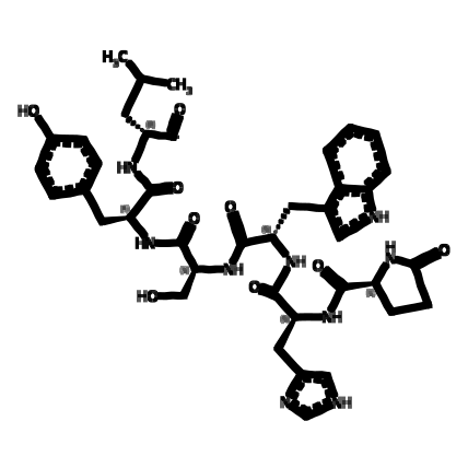 CC(C)C[C@H]([C]=O)NC(=O)[C@H](Cc1ccc(O)cc1)NC(=O)[C@H](CO)NC(=O)[C@H](Cc1c[nH]c2ccccc12)NC(=O)[C@H](Cc1c[nH]cn1)NC(=O)[C@@H]1CCC(=O)N1